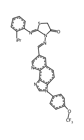 CC(C)c1ccccc1N=C1SCC(=O)N1N=Cc1cnc2c(ccc3c2ncn3-c2ccc(OC(F)(F)F)cc2)c1